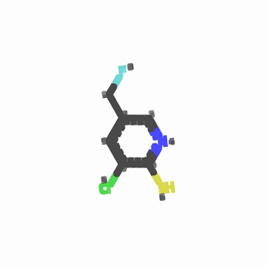 FCc1cnc(S)c(Cl)c1